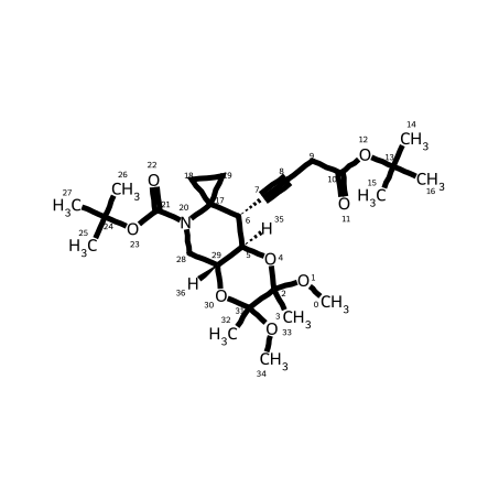 COC1(C)O[C@@H]2[C@@H](C#CCC(=O)OC(C)(C)C)C3(CC3)N(C(=O)OC(C)(C)C)C[C@H]2OC1(C)OC